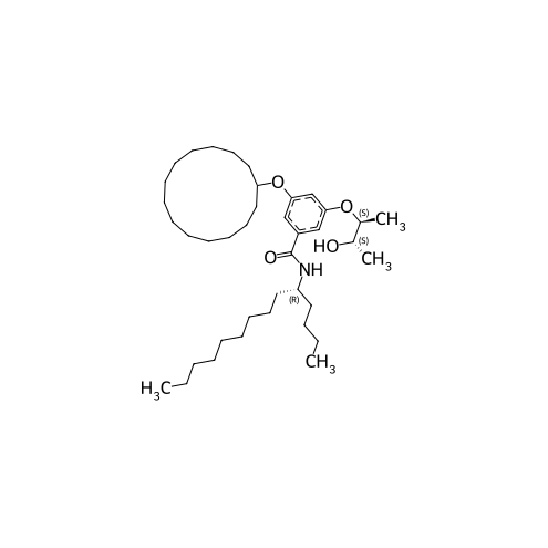 CCCCCCCCC[C@@H](CCCC)NC(=O)c1cc(OC2CCCCCCCCCCCCC2)cc(O[C@@H](C)[C@H](C)O)c1